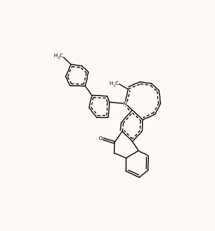 Cc1ccc(-c2cccc(-n3c(C)cccccc4cc5c(cc43)C(=O)CC3C=CC=CC53)c2)cc1